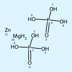 O=P(O)(O)O.O=P(O)(O)O.[MgH2].[Zn]